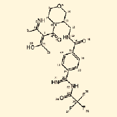 CC(=N)/C(C(=O)N1CCOCC1CNC(=O)c1ccc(C(=N)NC(=O)C(F)(F)F)cc1)=C(/C)O